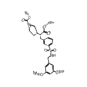 COc1cc(CNS(=O)(=O)c2cccc(C[C@H](C(=O)OC(C)(C)C)[C@H]3CCN(C(=O)OC(C)(C)C)C3)c2)cc(OC)c1